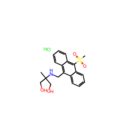 CC(CO)(CO)NCc1c2ccccc2c(S(C)(=O)=O)c2ccccc12.Cl